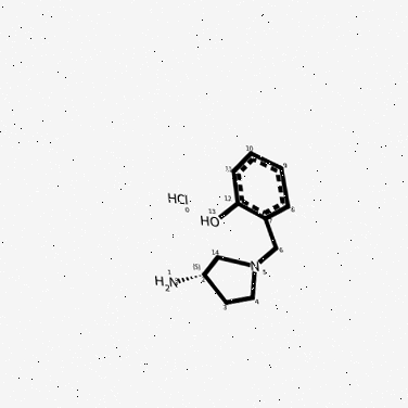 Cl.N[C@H]1CCN(Cc2ccccc2O)C1